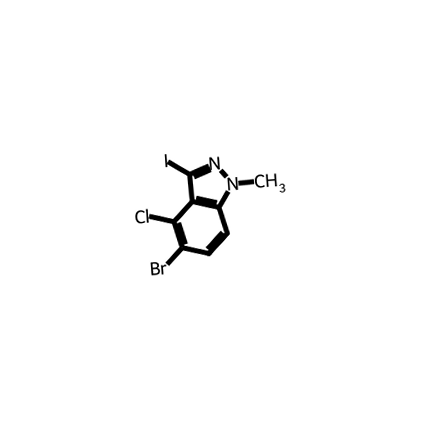 Cn1nc(I)c2c(Cl)c(Br)ccc21